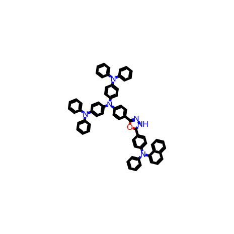 c1ccc(N(c2ccccc2)c2ccc(N(c3ccc(C4=NNC(c5ccc(N(c6ccccc6)c6cccc7ccccc67)cc5)O4)cc3)c3ccc(N(c4ccccc4)c4ccccc4)cc3)cc2)cc1